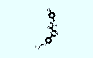 CCOc1ccc(-c2cncc(C(=O)NNCc3ccc(Cl)cc3)n2)cc1